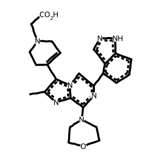 Cc1nc2c(N3CCOCC3)nc(-c3cccc4[nH]ncc34)cn2c1C1=CCN(CC(=O)O)CC1